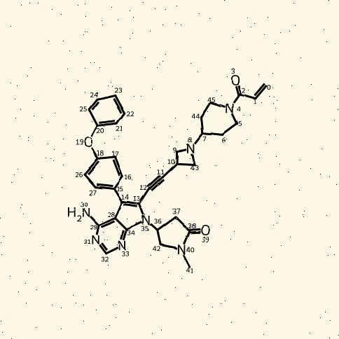 C=CC(=O)N1CCC(N2CC(C#Cc3c(-c4ccc(Oc5ccccc5)cc4)c4c(N)ncnc4n3C3CC(=O)N(C)C3)C2)CC1